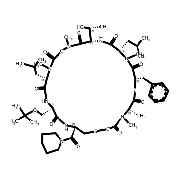 CC(C)C[C@H]1C(=O)N[C@@H](COC(C)(C)C)C(=O)N[C@H](C(=O)N2CCCCC2)CSCC(=O)N(C)[C@@H](C)C(=O)C[C@@H](Cc2ccccc2)C(=O)N(C)[C@@H](CC(C)C)C(=O)N[C@@H]([C@@H](C)O)C(=O)N(C)CC(=O)N1C